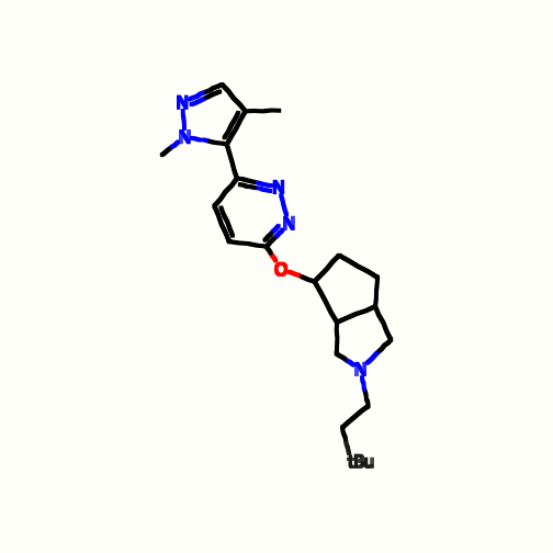 Cc1cnn(C)c1-c1ccc(OC2CCC3CN(CCC(C)(C)C)CC32)nn1